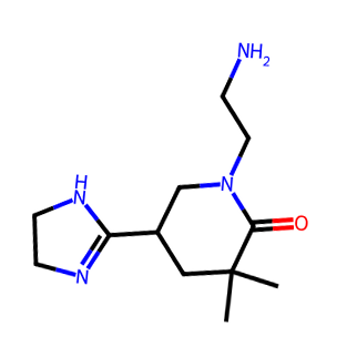 CC1(C)CC(C2=NCCN2)CN(CCN)C1=O